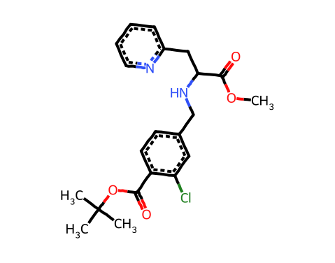 COC(=O)C(Cc1ccccn1)NCc1ccc(C(=O)OC(C)(C)C)c(Cl)c1